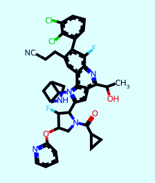 CC(O)c1nc2c(F)c(-c3cccc(Cl)c3Cl)c(CCC#N)cc2c2c1cc(C1C(F)C(Oc3ccccn3)CN1C(=O)C1CC1)n2C1C2CNC1C2